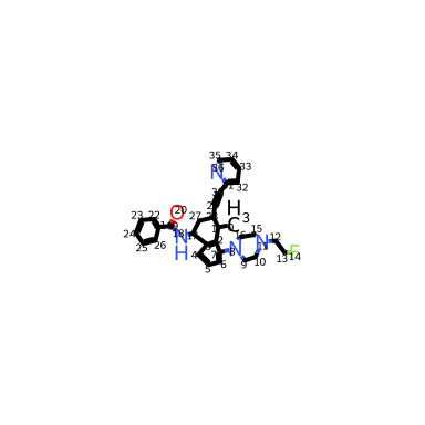 CC1c2c(cccc2N2CCN(CCF)CC2)C(NC(=O)c2ccccc2)CC1C#Cc1ccccn1